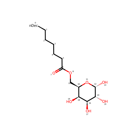 CCCCCCCCCCCCCCCC(=O)OC[C@H]1O[C@H](O)[C@H](O)[C@@H](O)[C@H]1O